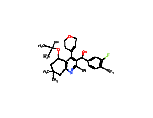 CC(C)c1nc2c(c(C3=CCOCC3)c1[C@@H](O)c1ccc(C(F)(F)F)c(F)c1)C(O[Si](C)(C)C(C)(C)C)CC(C)(C)C2